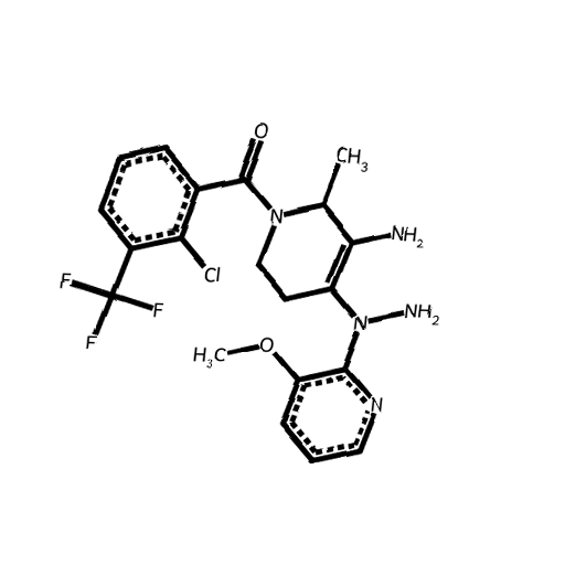 COc1cccnc1N(N)C1=C(N)C(C)N(C(=O)c2cccc(C(F)(F)F)c2Cl)CC1